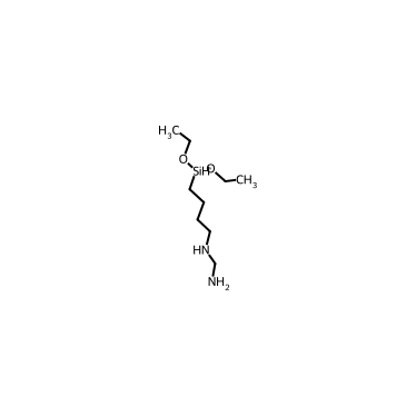 CCO[SiH](CCCCNCN)OCC